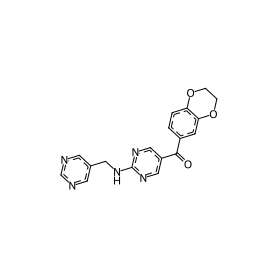 O=C(c1cnc(NCc2cncnc2)nc1)c1ccc2c(c1)OCCO2